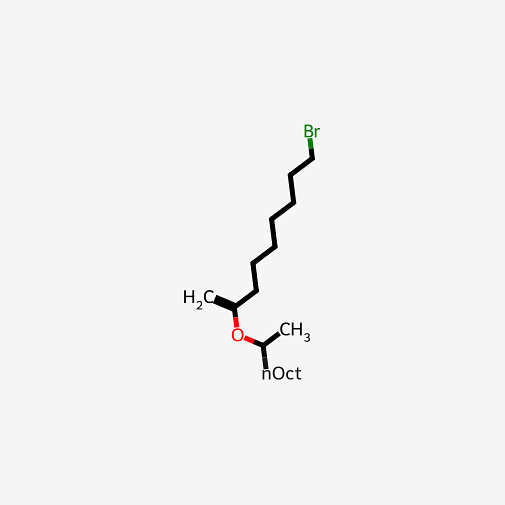 C=C(CCCCCCCBr)OC(C)CCCCCCCC